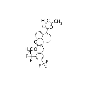 COC(=O)N(Cc1cc(C(F)(F)F)cc(C(F)(F)F)c1)C1CCCN(C(=O)OC(C)C)c2ccccc21